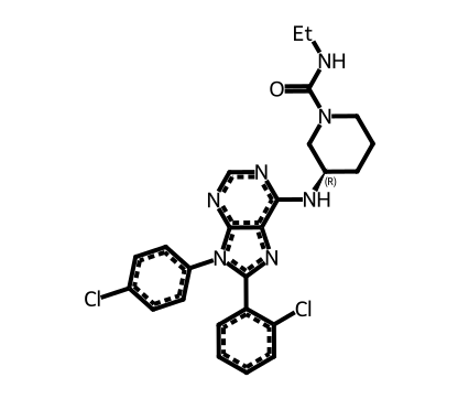 CCNC(=O)N1CCC[C@@H](Nc2ncnc3c2nc(-c2ccccc2Cl)n3-c2ccc(Cl)cc2)C1